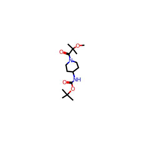 COC(C)(C)C(=O)N1CCC(NC(=O)OC(C)(C)C)CC1